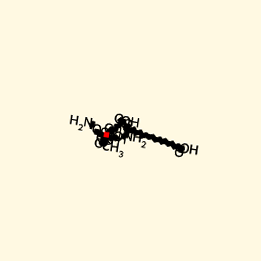 CC(=O)C(OCCOCCN)(OCCOCCN)C(=O)OC(=O)CCC(NC(=O)CCCCCCCCCCCCCCCCC(=O)O)C(=O)O